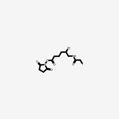 CCC(CCCC(=O)ON1C(=O)CCC1=O)CNC(=O)CI